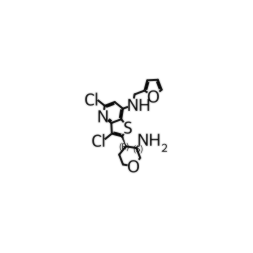 N[C@@H]1COCC[C@H]1c1sc2c(NCc3ccco3)cc(Cl)nc2c1Cl